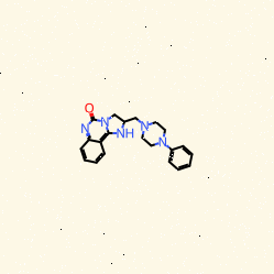 O=c1nc2ccccc2c2n1CC(CN1CCN(c3ccccc3)CC1)N2